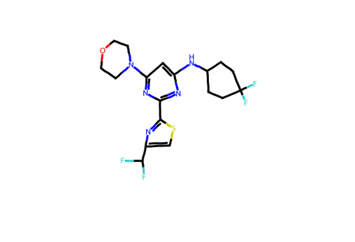 FC(F)c1csc(-c2nc(NC3CCC(F)(F)CC3)cc(N3CCOCC3)n2)n1